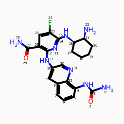 NC(=O)Nc1cccc2cc(Nc3nc(N[C@@H]4CCCC[C@@H]4N)c(F)cc3C(N)=O)cnc12